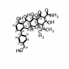 CN(C)[C@@H]1C(O)C(C(N)=O)C(=O)[C@@]2(O)C(O)=C3C(=O)c4c(O)ccc(-c5ccc(CO)cc5)c4C[C@H]3C[C@@H]12